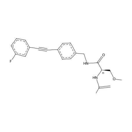 C=C(C)N[C@H](COC)C(=O)NCc1ccc(C#Cc2cccc(F)c2)cc1